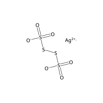 O=S(=O)([O-])SSS(=O)(=O)[O-].[Ag+2]